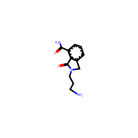 NCCCN1Cc2cccc(C(N)=O)c2C1=O